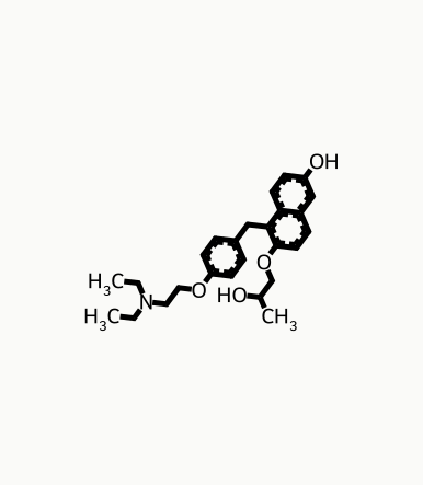 CCN(CC)CCOc1ccc(Cc2c(OCC(C)O)ccc3cc(O)ccc23)cc1